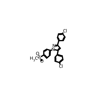 CS(=O)(=O)c1ccc(-n2nc(-c3ccc(Cl)cc3)cc2-c2ccc(Cl)cc2)cc1